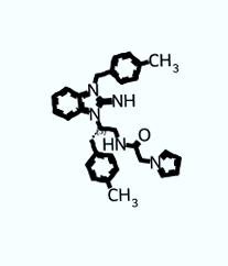 Cc1ccc(C[C@@H](CNC(=O)Cn2cccc2)n2c(=N)n(Cc3ccc(C)cc3)c3ccccc32)cc1